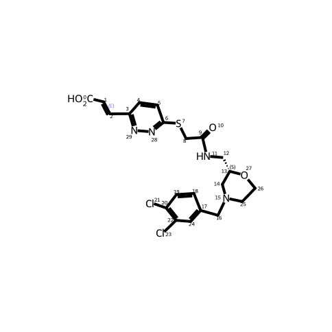 O=C(O)/C=C/c1ccc(SCC(=O)NC[C@H]2CN(Cc3ccc(Cl)c(Cl)c3)CCO2)nn1